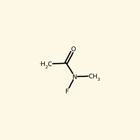 [CH2]C(=O)N(C)F